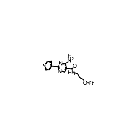 CCOCCCNC(=O)c1cnc(-c2ccncc2)nc1N